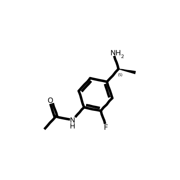 CC(=O)Nc1ccc([C@H](C)N)cc1F